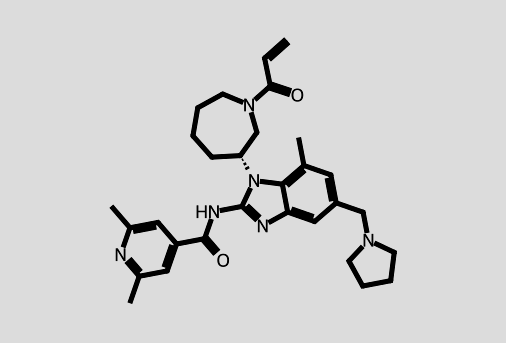 C=CC(=O)N1CCCC[C@@H](n2c(NC(=O)c3cc(C)nc(C)c3)nc3cc(CN4CCCC4)cc(C)c32)C1